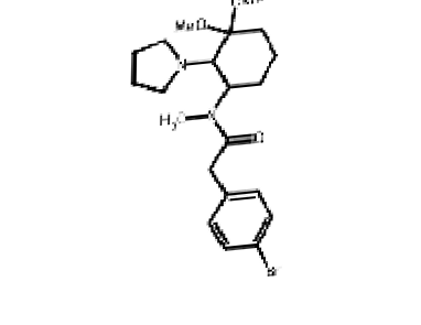 COC1(OC)CCCC(N(C)C(=O)Cc2ccc(Br)cc2)C1N1CCCC1